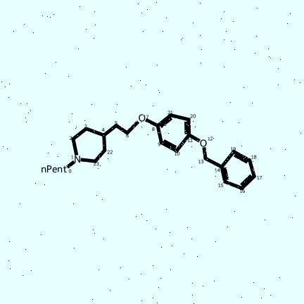 CCCCCN1CCC(CCOc2ccc(OCc3ccccc3)cc2)CC1